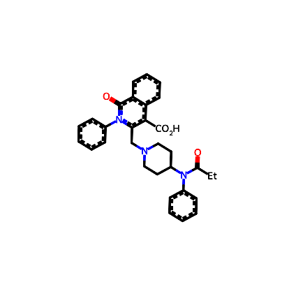 CCC(=O)N(c1ccccc1)C1CCN(Cc2c(C(=O)O)c3ccccc3c(=O)n2-c2ccccc2)CC1